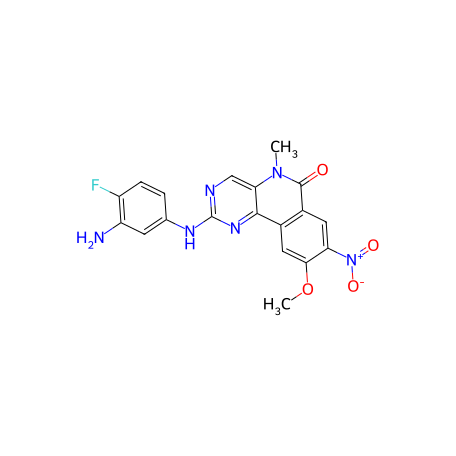 COc1cc2c(cc1[N+](=O)[O-])c(=O)n(C)c1cnc(Nc3ccc(F)c(N)c3)nc21